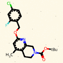 Cc1cc(OCc2ccc(Cl)cc2F)nc2c1CCN(C(=O)OC(C)(C)C)C2